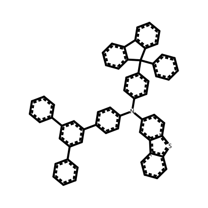 c1ccc(-c2cc(-c3ccccc3)cc(-c3ccc(N(c4ccc(C5(c6ccccc6)c6ccccc6-c6ccccc65)cc4)c4ccc5sc6ccccc6c5c4)cc3)c2)cc1